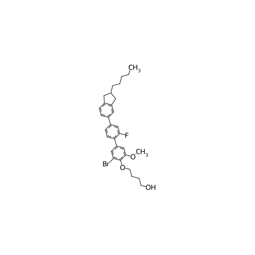 CCCCCC1Cc2ccc(-c3ccc(-c4cc(Br)c(OCCCCO)c(OC)c4)c(F)c3)cc2C1